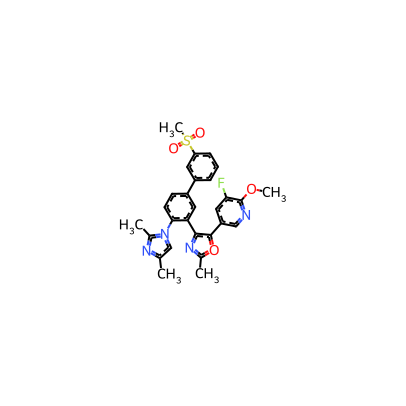 COc1ncc(-c2oc(C)nc2-c2cc(-c3cccc(S(C)(=O)=O)c3)ccc2-n2cc(C)nc2C)cc1F